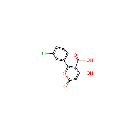 O=C(O)c1c(O)cc(=O)oc1-c1cccc(Cl)c1